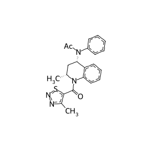 CC(=O)N(c1ccccc1)[C@H]1C[C@@H](C)N(C(=O)c2snnc2C)c2ccccc21